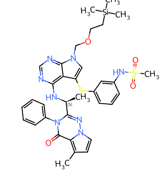 Cc1ccn2nc([C@H](C)Nc3ncnc4c3c(Sc3cccc(NS(C)(=O)=O)c3)cn4COCC[Si](C)(C)C)n(-c3ccccc3)c(=O)c12